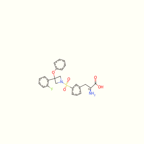 N[C@@H](Cc1cccc(S(=O)(=O)N2CC(Oc3ccccc3)(c3ccccc3F)C2)c1)C(=O)O